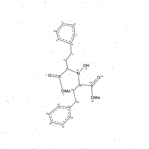 COC(=O)C(CCc1ccccc1)N(O)C(CCc1ccccc1)C(=O)OC